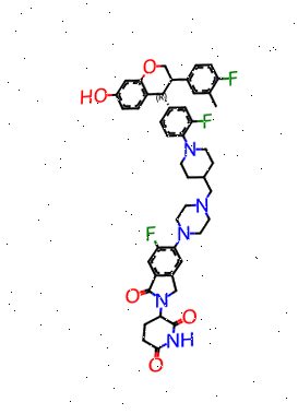 Cc1cc(C2COc3cc(O)ccc3[C@H]2c2ccc(N3CCC(CN4CCN(c5cc6c(cc5F)C(=O)N(C5CCC(=O)NC5=O)C6)CC4)CC3)c(F)c2)ccc1F